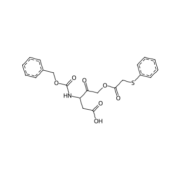 O=C(O)CC(NC(=O)OCc1ccccc1)C(=O)COC(=O)CSc1ccccc1